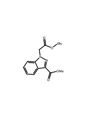 COC(=O)c1nn(CC(=O)OC(C)(C)C)c2ccccc12